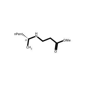 CCCCC[C@@H](C)NCCC(=O)OC